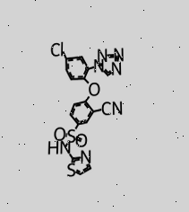 N#Cc1cc(S(=O)(=O)Nc2nccs2)ccc1Oc1ccc(Cl)cc1-n1cnnn1